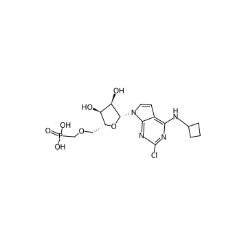 O=P(O)(O)COC[C@H]1O[C@@H](n2ccc3c(NC4CCC4)nc(Cl)nc32)[C@H](O)[C@@H]1O